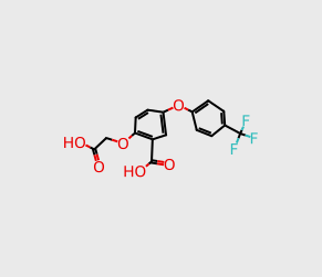 O=C(O)COc1ccc(Oc2ccc(C(F)(F)F)cc2)cc1C(=O)O